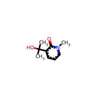 Cn1cccc(C(C)(C)O)c1=O